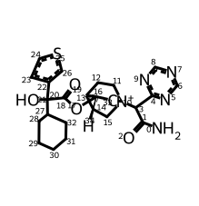 NC(=O)C(c1ncncn1)[N+]12CCC(CC1)[C@@H](OC(=O)C(O)(c1ccsc1)C1CCCCC1)C2